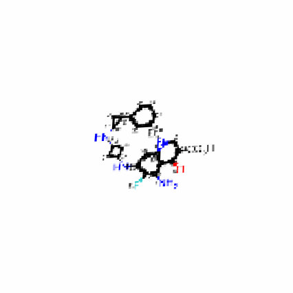 CCn1cc(C(=O)O)c(=O)c2c(N)c(F)c(N[C@H]3C[C@@H](N[C@@H]4C[C@H]4c4ccccc4)C3)cc21